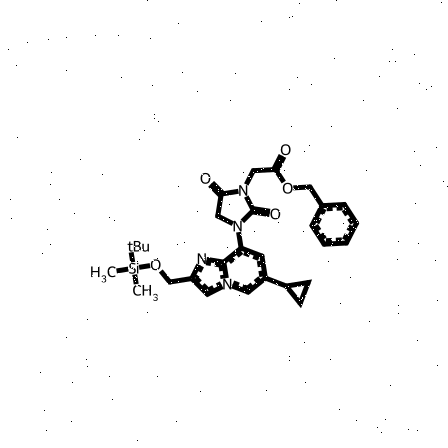 CC(C)(C)[Si](C)(C)OCc1cn2cc(C3CC3)cc(N3CC(=O)N(CC(=O)OCc4ccccc4)C3=O)c2n1